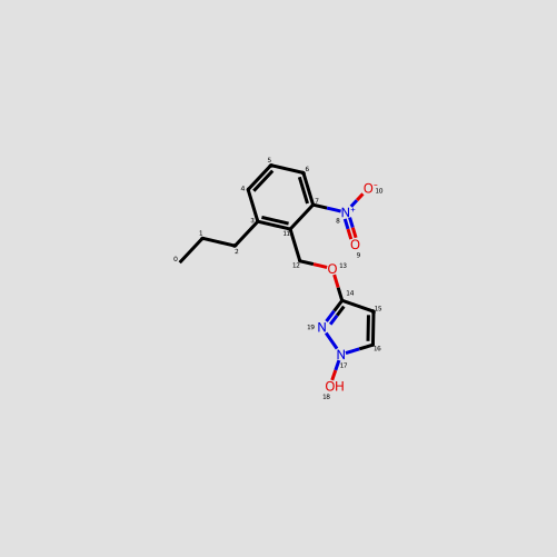 CCCc1cccc([N+](=O)[O-])c1COc1ccn(O)n1